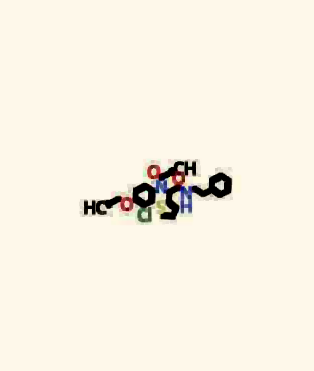 C#CCOc1ccc(N(C(=O)C#C)C(C(=O)NCCc2ccccc2)c2cccs2)cc1Cl